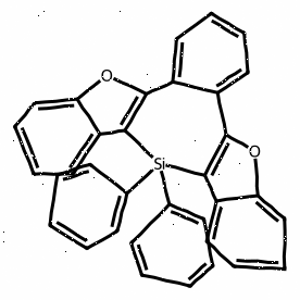 c1ccc([Si]2(c3ccccc3)c3c(oc4ccccc34)-c3ccccc3-c3oc4ccccc4c32)cc1